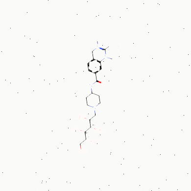 CCN1C(C)=[N+](CC)Cc2ccc(C(=O)NC3CCN(C[C@H](O)[C@@H](O)[C@H](O)[C@H](O)CO)CC3)cc21